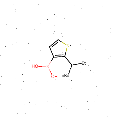 CCCCC(CC)c1sccc1B(O)O